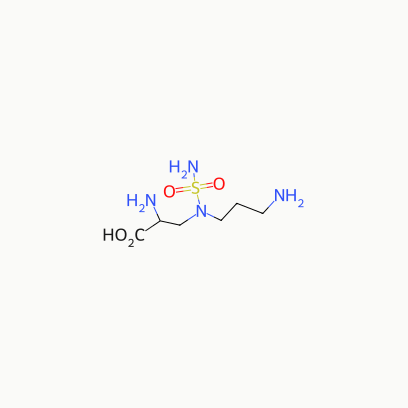 NCCCN(CC(N)C(=O)O)S(N)(=O)=O